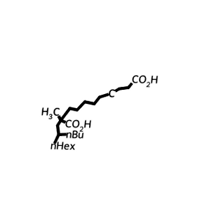 CCCCCCC(CCCC)CC(C)(CCCCCCCCC(=O)O)C(=O)O